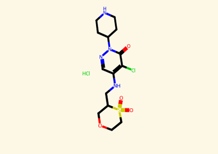 Cl.O=c1c(Cl)c(NCC2COCCS2(=O)=O)cnn1C1CCNCC1